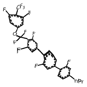 CCCc1ccc(-c2ccc(-c3cc(F)c(C(F)(F)Oc4cc(F)c(C(F)(F)F)c(F)c4)c(F)c3)c(F)c2)c(F)c1